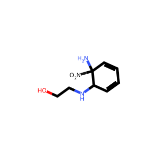 NC1([N+](=O)[O-])C=CC=CC1NCCO